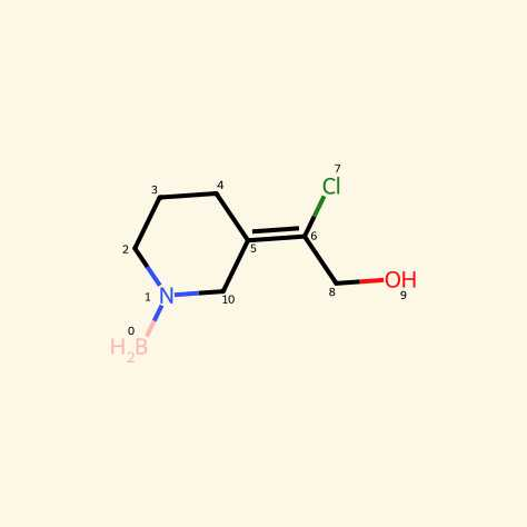 BN1CCC/C(=C(\Cl)CO)C1